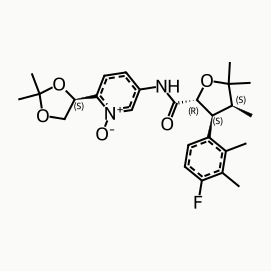 Cc1c(F)ccc([C@H]2[C@H](C(=O)Nc3ccc([C@H]4COC(C)(C)O4)[n+]([O-])c3)OC(C)(C)[C@H]2C)c1C